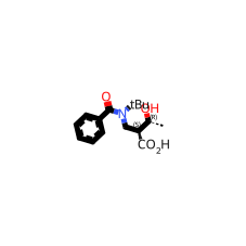 C[C@@H](O)[C@H](CN(C(=O)c1ccccc1)C(C)(C)C)C(=O)O